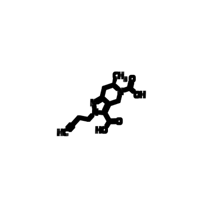 C#CCCn1nc2c(c1C(=O)O)CN(C(=O)O)[C@H](C)C2